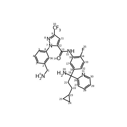 NCc1cccc(-n2nc(C(F)(F)F)cc2C(=O)Nc2cc(C(N)(CCC3CC3)c3ccccn3)ccc2F)c1